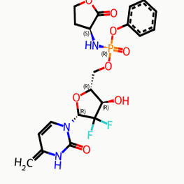 C=C1C=CN([C@@H]2O[C@H](CO[P@](=O)(N[C@H]3CCOC3=O)Oc3ccccc3)[C@@H](O)C2(F)F)C(=O)N1